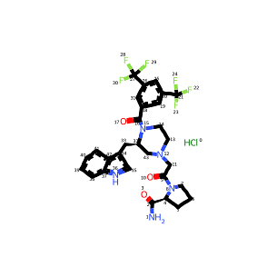 Cl.NC(=O)[C@@H]1CCCN1C(=O)CN1CCN(C(=O)c2cc(C(F)(F)F)cc(C(F)(F)F)c2)[C@H](Cc2c[nH]c3ccccc23)C1